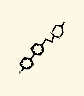 CC1COC(CCc2ccc(-c3ccc(F)cc3)cc2)OC1